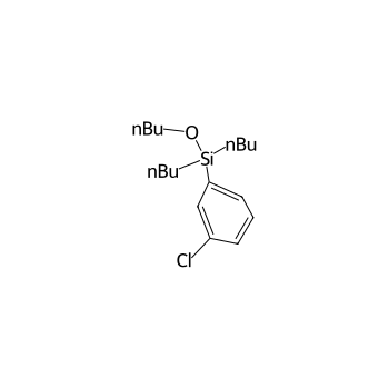 CCCCO[Si](CCCC)(CCCC)c1cccc(Cl)c1